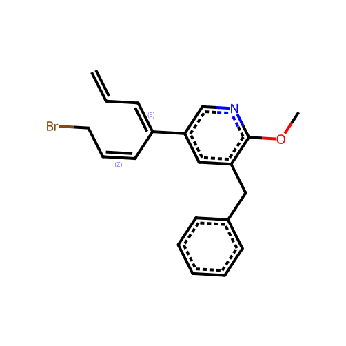 C=C/C=C(\C=C/CBr)c1cnc(OC)c(Cc2ccccc2)c1